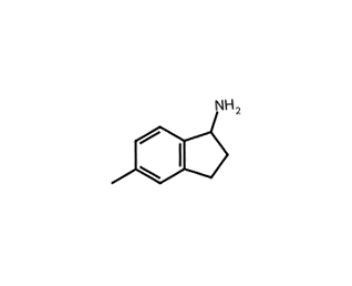 Cc1ccc2c(c1)CCC2N